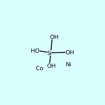 O[Si](O)(O)O.[Co].[Ni]